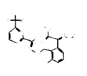 CO/N=C(/C(=O)OC)c1cccc(C)c1CO/N=C(\C)c1nccc(C(F)(F)F)n1